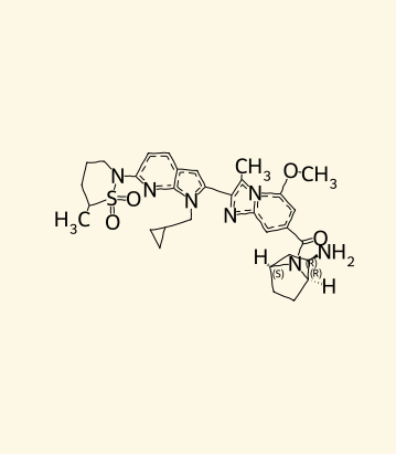 COc1cc(C(=O)N2[C@H]3CC[C@@H]2[C@H](N)C3)cc2nc(-c3cc4ccc(N5CCCC(C)S5(=O)=O)nc4n3CC3CC3)c(C)n12